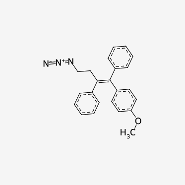 COc1ccc(C(=C(CCN=[N+]=[N-])c2ccccc2)c2ccccc2)cc1